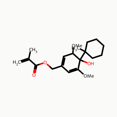 C=C(C)C(=O)OCC1=CC(OC)C(O)(C2(C)CCCCC2)C(OC)=C1